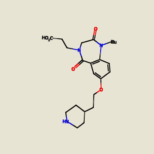 CCC(C)N1C(=O)CN(CCC(=O)O)C(=O)c2cc(OCCC3CCNCC3)ccc21